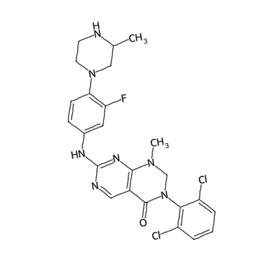 CC1CN(c2ccc(Nc3ncc4c(n3)N(C)CN(c3c(Cl)cccc3Cl)C4=O)cc2F)CCN1